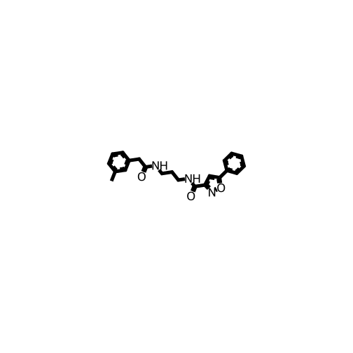 Cc1cccc(CC(=O)NCCCNC(=O)c2cc(-c3ccccc3)on2)c1